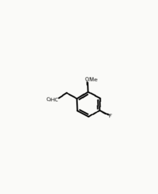 COc1cc(F)ccc1CC=O